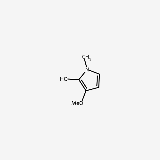 COc1ccn(C)c1O